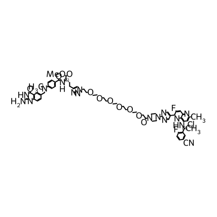 COC(=O)[C@H](CCc1cn(CCOCCOCCOCCOCCOCCOCC(=O)N2CCN(c3ncc(-c4nc5c(N[C@H](C)c6cc(C#N)ccc6F)c(Cl)c(C)nc5cc4F)cn3)CC2)nn1)NC(=O)c1ccc(N(C)Cc2ccc3nc(N)[nH]c(=O)c3c2)cc1